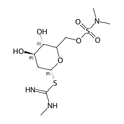 CNC(=N)S[C@@H]1C[C@@H](O)[C@H](O)C(COS(=O)(=O)N(C)C)O1